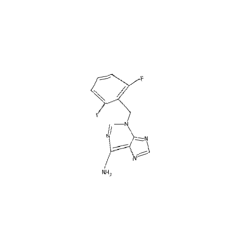 Nc1ncn(Cc2c(F)cccc2I)c2ncnc1-2